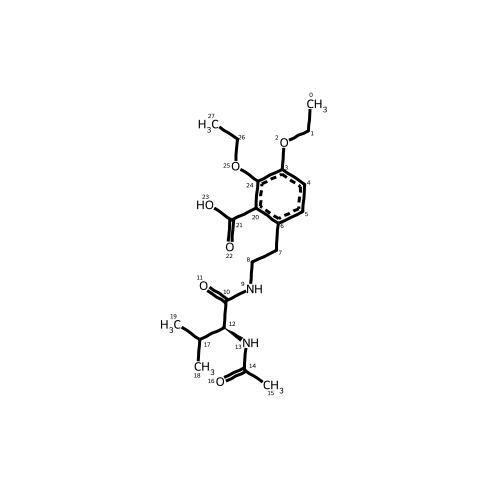 CCOc1ccc(CCNC(=O)[C@@H](NC(C)=O)C(C)C)c(C(=O)O)c1OCC